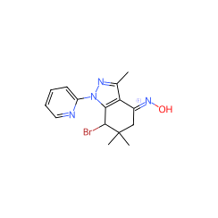 Cc1nn(-c2ccccn2)c2c1/C(=N/O)CC(C)(C)C2Br